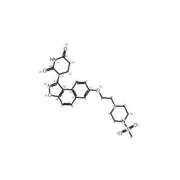 CS(=O)(=O)N1CCN(CCOc2ccc3c(ccc4onc([C@@H]5CCC(=O)NC5=O)c43)c2)CC1